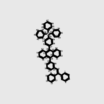 C(=C(c1ccccc1)c1ccccc1)c1cccc(-c2c3ccccc3c(-c3ccc([Si](c4ccccc4)(c4ccccc4)c4ccccc4)cc3)c3ccccc23)c1